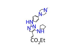 CCOC(=O)/C=C/c1cnc(Nc2ccc(N3CCN(C)CC3)cc2)nc1NC1CCCC1